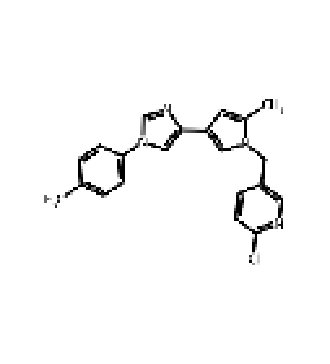 Cc1cc(-c2cn(-c3ccc(C(F)(F)F)cc3)cn2)cn1Cc1ccc(Cl)nc1